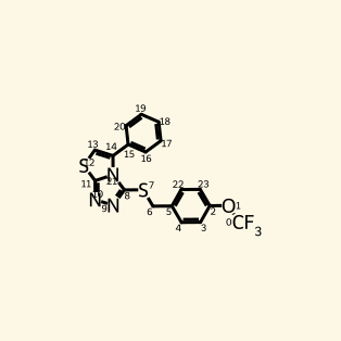 FC(F)(F)Oc1ccc(CSc2nnc3scc(-c4ccccc4)n23)cc1